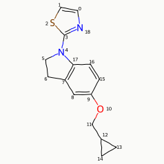 c1csc(N2CCc3cc(OCC4CC4)ccc32)n1